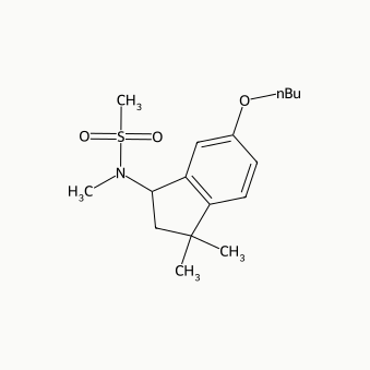 CCCCOc1ccc2c(c1)C(N(C)S(C)(=O)=O)CC2(C)C